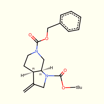 C=C1CN(C(=O)OC(C)(C)C)[C@@H]2CN(C(=O)OCc3ccccc3)CC[C@H]12